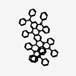 c1ccc(N(c2ccccc2)c2cc3c4c(c2)N(c2ccccc2)c2cc5c(cc2B4c2ccccc2N3c2ccccc2)B2c3ccccc3N(c3ccccc3)c3cc(N(c4ccccc4)c4ccccc4)nc(c32)C5c2ccccc2-n2c3ccccc3c3ccccc32)cc1